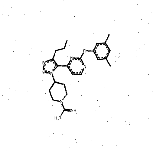 CCCc1nnn(C2CCN(C(=N)N)CC2)c1-c1ccnc(Oc2cc(C)cc(C)c2)n1